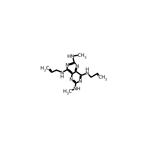 C=CCNc1nc(NC)nc2c(NCC=C)nc(NC)nc12